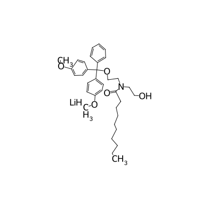 CCCCCCCCCC(=O)N(CCO)CCOC(c1ccccc1)(c1ccc(OC)cc1)c1ccc(OC)cc1.[LiH]